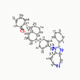 c1ccc(-c2nc3cnccc3n2-c2ccc(-c3ccc4c5c(cccc35)-c3ccccc3O4)cc2)cc1